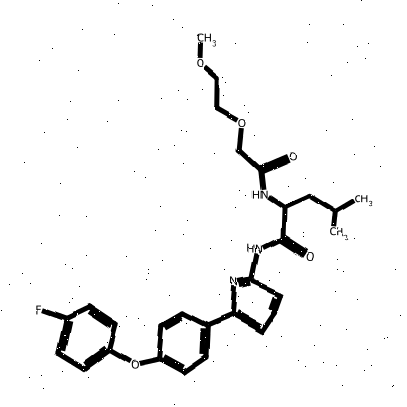 COCCOCC(=O)NC(CC(C)C)C(=O)Nc1cccc(-c2ccc(Oc3ccc(F)cc3)cc2)n1